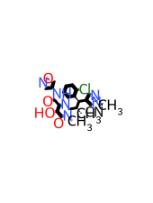 C[C@H](c1nc(C(=O)Nc2cnoc2)c(O)c(=O)n1C)[C@@H](c1ccccc1Cl)c1cnn(C)c1C#N